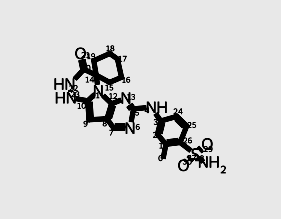 Cc1cc(Nc2ncc3cc4n(c3n2)C2(CCCCC2)C(=O)NN4)ccc1S(N)(=O)=O